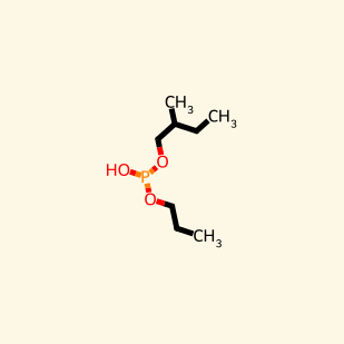 CCCOP(O)OCC(C)CC